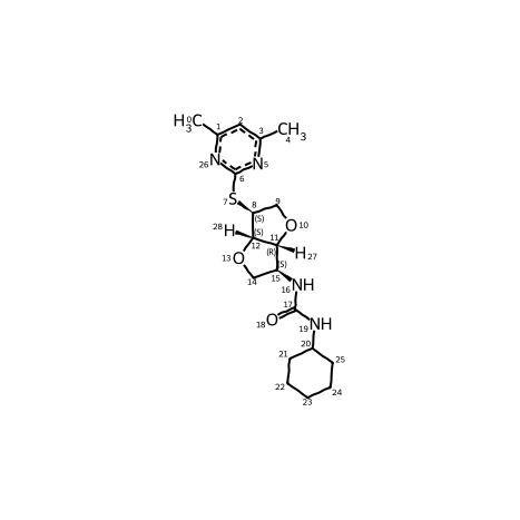 Cc1cc(C)nc(S[C@H]2CO[C@H]3[C@@H]2OC[C@@H]3NC(=O)NC2CCCCC2)n1